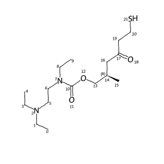 CCN(CC)CCN(CC)C(=O)OC[C@H](C)CC(=O)CCS